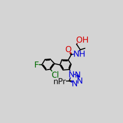 CCCc1nnnn1-c1cc(C(=O)NC(C)CO)cc(-c2ccc(F)cc2Cl)c1